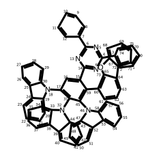 c1ccc(-c2nc(-c3ccccc3)nc(-c3cc(-n4c5ccccc5c5ccccc54)c(-n4c5ccccc5c5ccccc54)c(-n4c5ccccc5c5ccccc54)c3-c3cccc4c3oc3ccccc34)n2)cc1